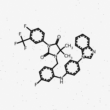 CC1(C)C(=O)N(c2ccc(F)c(C(F)(F)F)c2)C(=O)N1Cc1ccc(F)cc1Nc1ccc(-n2cnc3ccccc32)cc1